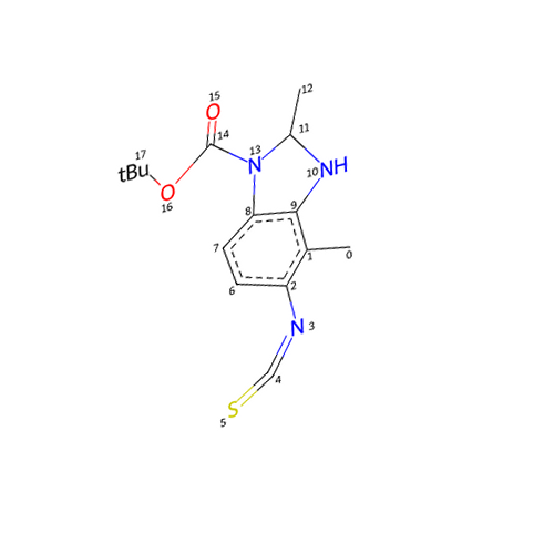 Cc1c(N=C=S)ccc2c1NC(C)N2C(=O)OC(C)(C)C